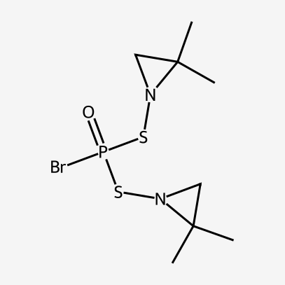 CC1(C)CN1SP(=O)(Br)SN1CC1(C)C